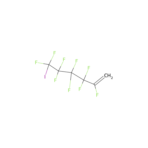 C=C(F)C(F)(F)C(F)(F)C(F)(F)C(F)(F)I